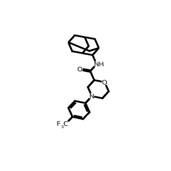 O=C(NC1C2CC3CC(C2)CC1C3)C1CN(c2ccc(C(F)(F)F)cc2)CCO1